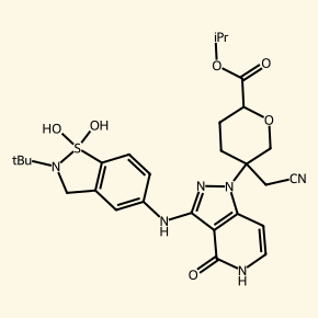 CC(C)OC(=O)C1CCC(CC#N)(n2nc(Nc3ccc4c(c3)CN(C(C)(C)C)S4(O)O)c3c(=O)[nH]ccc32)CO1